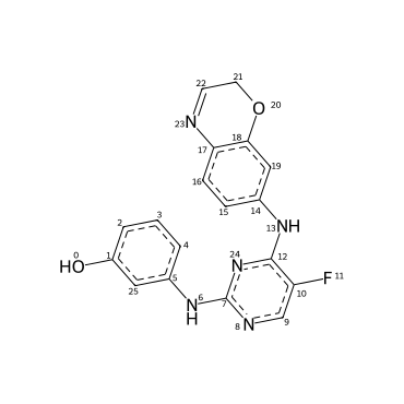 Oc1cccc(Nc2ncc(F)c(Nc3ccc4c(c3)OCC=N4)n2)c1